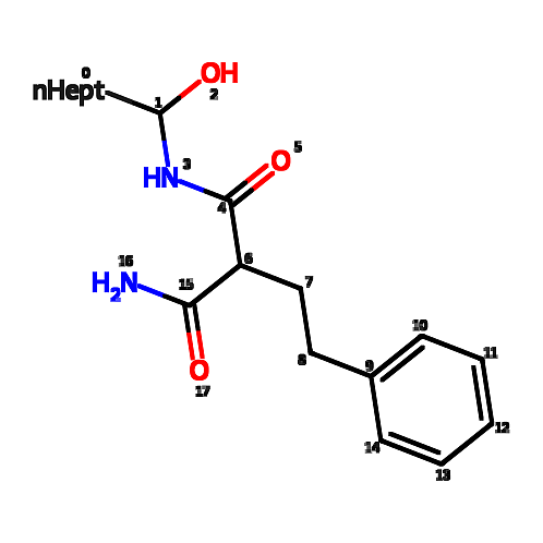 CCCCCCCC(O)NC(=O)C(CCc1ccccc1)C(N)=O